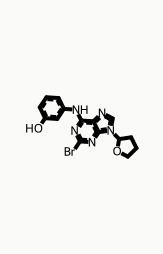 Oc1cccc(Nc2nc(Br)nc3c2ncn3C2CCCO2)c1